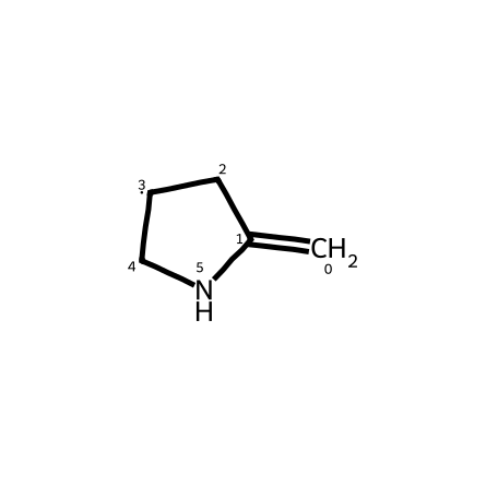 C=C1C[CH]CN1